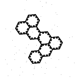 c1ccc2c(c1)cc1cccc3cc4c5cccc6cccc(cc4c2c13)c65